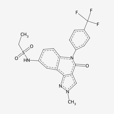 CCS(=O)(=O)Nc1ccc2c(c1)c1nn(C)cc1c(=O)n2-c1ccc(C(F)(F)F)cc1